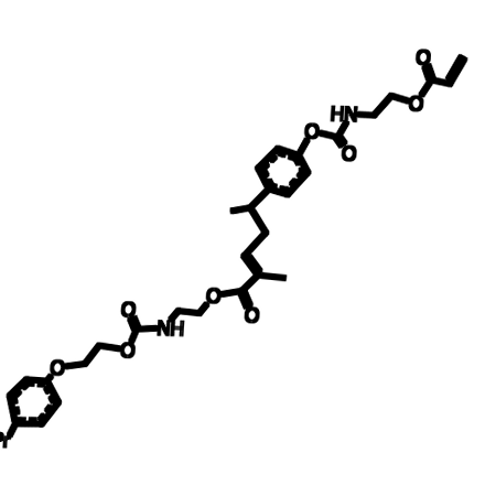 C=CC(=O)OCCNC(=O)Oc1ccc(C(C)C/C=C(\C)C(=O)OCCNC(=O)OCCOc2ccc(C(C)C)cc2)cc1